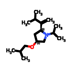 C=C(C(C)C)[C@@H]1C[C@H](OCC(C)C)CN1C(C)C